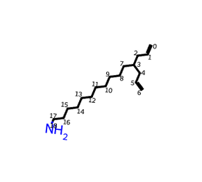 C=CCC(CC=C)CCCCCCCCCCCN